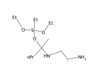 CCCC(C)(NCCN)O[Si](CC)(OCC)OCC